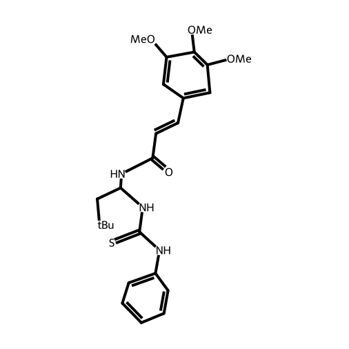 COc1cc(/C=C/C(=O)NC(CC(C)(C)C)NC(=S)Nc2ccccc2)cc(OC)c1OC